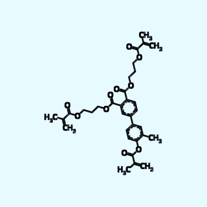 C=C(C)C(=O)OCCCOC(=O)c1ccc(-c2ccc(OC(=O)C(=C)C)c(C)c2)cc1C(=O)OCCCOC(=O)C(=C)C